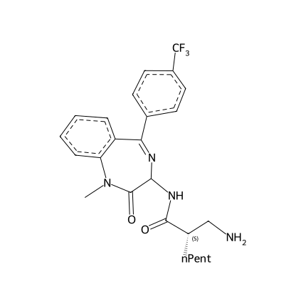 CCCCC[C@@H](CN)C(=O)NC1N=C(c2ccc(C(F)(F)F)cc2)c2ccccc2N(C)C1=O